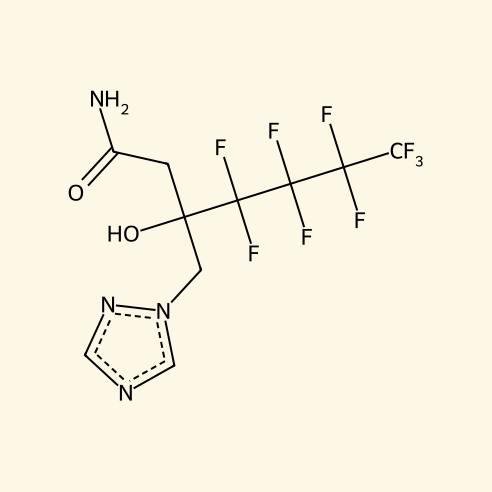 NC(=O)CC(O)(Cn1cncn1)C(F)(F)C(F)(F)C(F)(F)C(F)(F)F